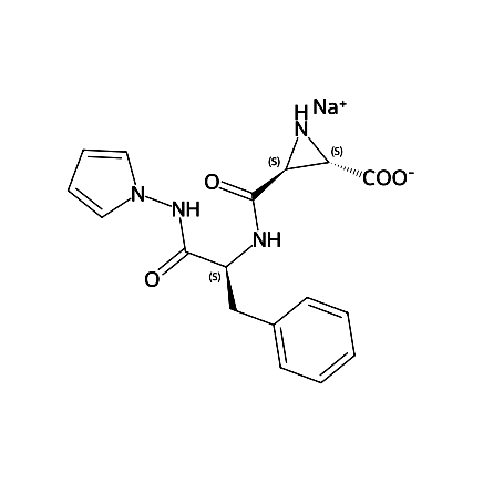 O=C(Nn1cccc1)[C@H](Cc1ccccc1)NC(=O)[C@H]1N[C@@H]1C(=O)[O-].[Na+]